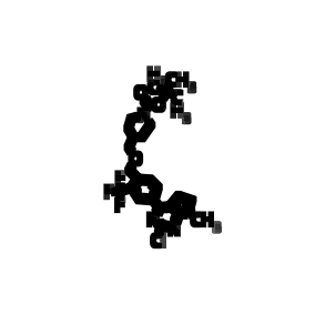 Cn1ccc2c(-c3ccc(COCC4CCN(C(=O)OC(C)(C)C)CC4)c(C(F)(F)F)c3)nc(Cl)nc21